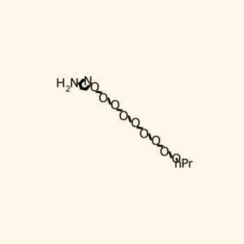 CCCOCCOCCOCCOCCOCCOCCOCCOCCOc1ccc(N)cn1